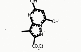 CCOC(=O)c1nn2c(O)cc(O)nc2c1C